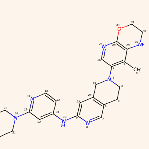 Cc1c(N2CCc3cnc(Nc4ccnc(N5CCOCC5)c4)cc3C2)cnc2c1NCCO2